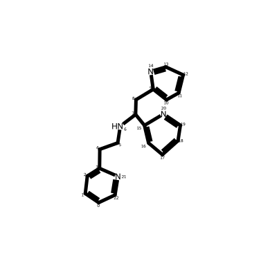 c1ccc(CCNC(Cc2ccccn2)c2ccccn2)nc1